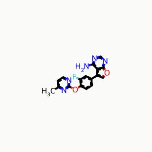 Cc1ccnc(Oc2ccc(-c3coc4ncnc(N)c34)cc2F)n1